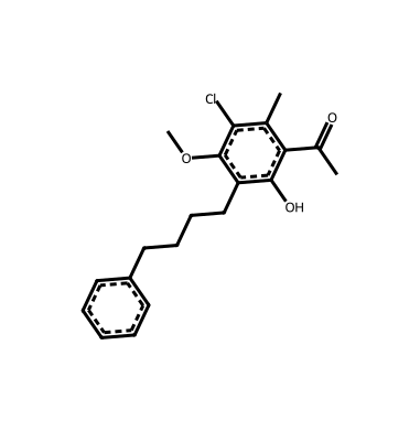 COc1c(Cl)c(C)c(C(C)=O)c(O)c1CCCCc1ccccc1